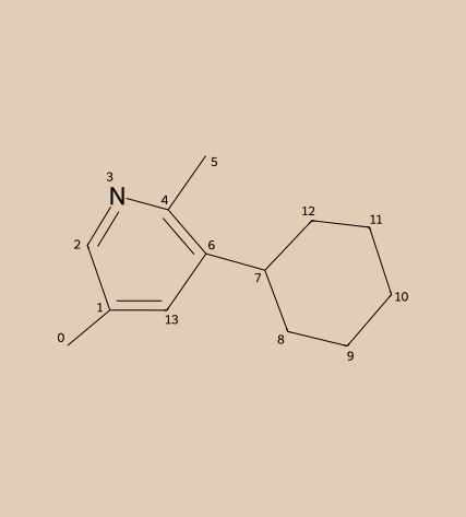 Cc1cnc(C)c(C2CCCCC2)c1